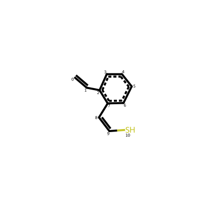 C=Cc1ccccc1/C=C\S